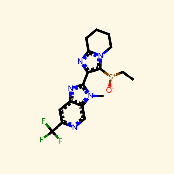 CC[S+]([O-])c1c(-c2nc3cc(C(F)(F)F)ncc3n2C)nc2n1CCCC2